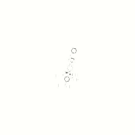 CC(C)c1cc(C(C)C)c(S(=O)(=O)N2CCN(c3nc(Cc4ccc(Cl)cc4)cs3)CC2)c(C(C)C)c1